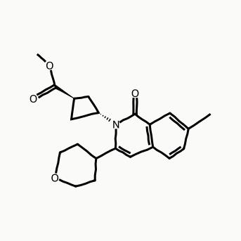 COC(=O)[C@H]1C[C@H](n2c(C3CCOCC3)cc3ccc(C)cc3c2=O)C1